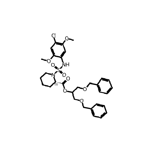 COc1cc(NS(=O)(=O)N2CCCC[C@H]2C(=O)OC(COCc2ccccc2)COCc2ccccc2)c(OC)cc1Cl